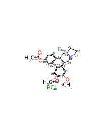 COc1cc2c3c(c4ccc(OC(C)=O)cc4c2cc1OC)[C@H](F)C1CCCN1C3.Cl